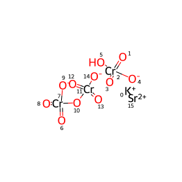 [K+].[O]=[Cr](=[O])([O-])[OH].[O]=[Cr](=[O])([O-])[O][Cr](=[O])(=[O])[O-].[Sr+2]